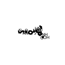 CN1CCCC1COC(=O)NC1CCC(c2ncc(-c3ccc(NC(=O)O)cc3S(=O)(=O)NC(C)(C)C)s2)CC1